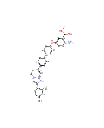 CCn1cc(-c2ccc(Cl)cc2Cl)nc1/C=C/c1ccc(-c2ccc(Oc3ccc(N)c(C(=O)OC)c3)cc2)cc1